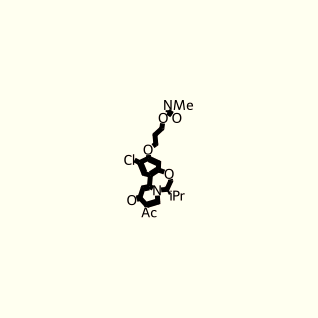 CNC(=O)OCCCOc1cc2c(cc1Cl)-c1cc(=O)c(C(C)=O)cn1[C@H](C(C)C)CO2